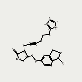 O=C1NC[C@H](COc2ccc3c(c2)CCC3O)[C@H]1CC#CCCCc1nnn[nH]1